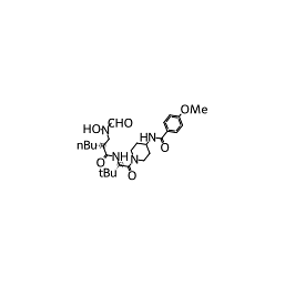 CCCC[C@H](CN(O)C=O)C(=O)N[C@H](C(=O)N1CCC(NC(=O)c2ccc(OC)cc2)CC1)C(C)(C)C